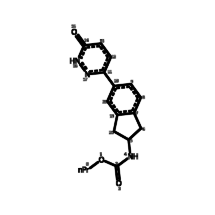 CCCOC(=O)NC1Cc2ccc(-c3ccc(=O)[nH]n3)cc2C1